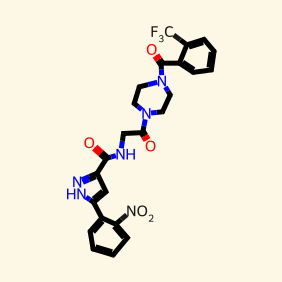 O=C(NCC(=O)N1CCN(C(=O)c2ccccc2C(F)(F)F)CC1)c1cc(-c2ccccc2[N+](=O)[O-])[nH]n1